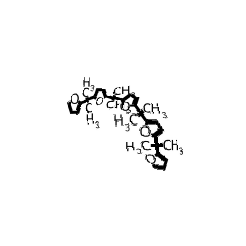 CC(C)(c1ccco1)c1ccc(C(C)(C)c2ccc(C(C)(C)c3ccc(C(C)(C)c4ccco4)o3)o2)o1